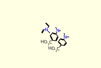 C=CN(C)C=C.CN(C)c1ccc(C(=O)O)cc1.CN(C)c1ccc(C(=O)O)cc1